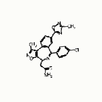 Cc1noc(-c2ccc3c(c2)C(c2ccc(Cl)cc2)=NC(CC(N)=O)c2onc(C)c2-3)n1